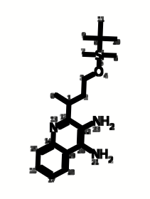 CC(CCO[Si](C)(C)C(C)(C)C)c1nc2ccccc2c(N)c1N